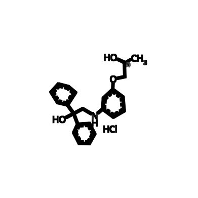 C[C@H](O)COc1cccc(NCC(O)(c2ccccc2)c2ccccc2)c1.Cl